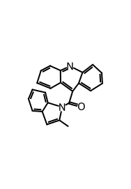 Cc1cc2ccccc2n1C(=O)c1c2ccccc2nc2ccccc12